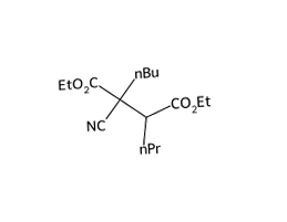 CCCCC(C#N)(C(=O)OCC)C(CCC)C(=O)OCC